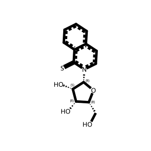 OC[C@H]1O[C@@H](n2ccc3ccccc3c2=S)[C@@H](O)[C@H]1O